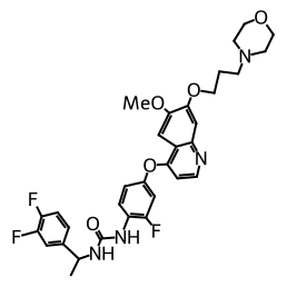 COc1cc2c(Oc3ccc(NC(=O)NC(C)c4ccc(F)c(F)c4)c(F)c3)ccnc2cc1OCCCN1CCOCC1